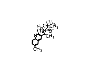 Cc1ccc2nc(Cl)c(C(C)N[S+]([O-])C(C)(C)C)cc2c1